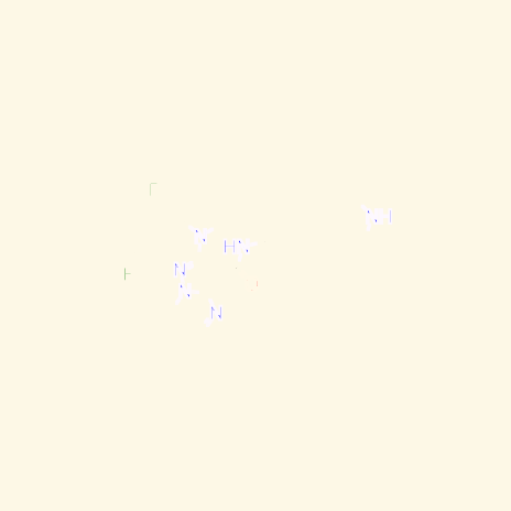 O=C(Nc1ccc(C2CCNCC2)cc1)c1c(N2CC(F)C[C@H]2c2cc(F)ccc2F)nn2cccnc12